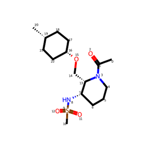 CC(=O)N1CCC[C@H](NS(C)(=O)=O)[C@@H]1CO[C@H]1CC[C@@H](C)CC1